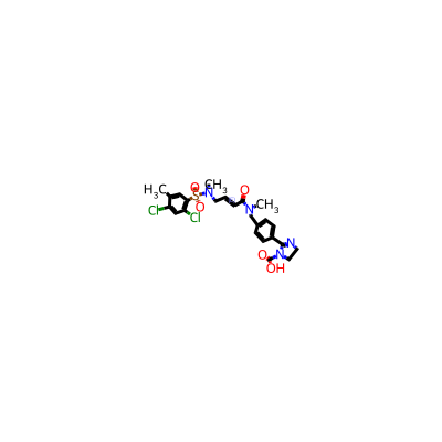 Cc1cc(S(=O)(=O)N(C)C/C=C/C(=O)N(C)Cc2ccc(C3=NCCN3C(=O)O)cc2)c(Cl)cc1Cl